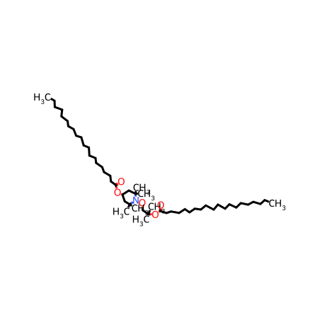 CCCCCCCCCCCCCCCCCCCC(=O)OC1CC(C)(C)N(OCC(C)(C)OC(=O)CCCCCCCCCCCCCCCCCCC)C(C)(C)C1